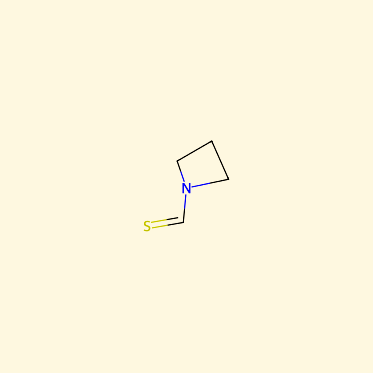 S=CN1CCC1